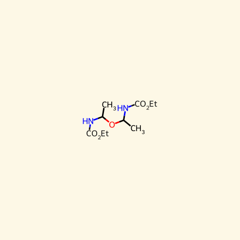 CCOC(=O)NC(C)OC(C)NC(=O)OCC